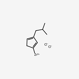 CC(C)CC1=CC[C]([Zr+2])=C1.[Cl-].[Cl-]